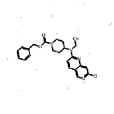 N#CCN(c1ccc2cnc(Cl)cc2n1)C1CCN(C(=O)OCc2ccccc2)CC1